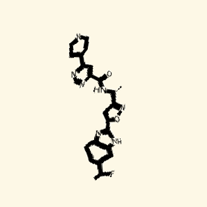 CC(F)c1ccc2nc(-c3cc([C@@H](C)NC(=O)c4cc(-c5ccncc5)ncn4)no3)[nH]c2c1